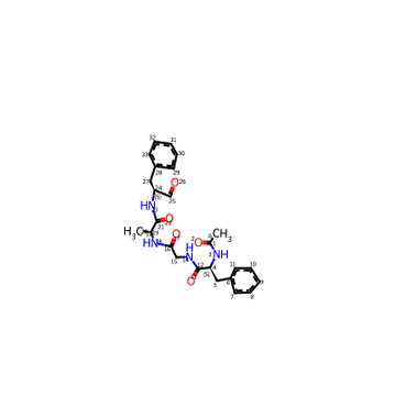 CC(=O)N[C@@H](Cc1ccccc1)C(=O)NCC(=O)N[C@@H](C)C(=O)N[C@H](C=O)Cc1ccccc1